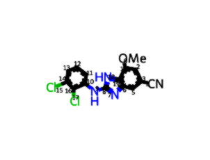 COc1cc(C#N)cc2nc(Nc3cccc(Cl)c3Cl)[nH]c12